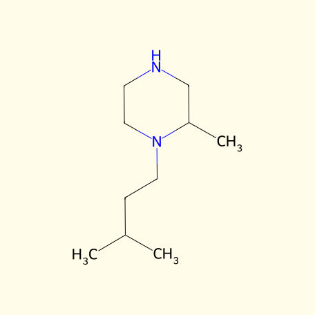 CC(C)CCN1CCNCC1C